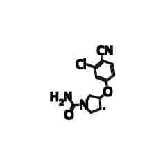 N#Cc1ccc(OC2[CH]CN(C(N)=O)C2)cc1Cl